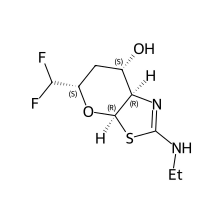 CCNC1=N[C@H]2[C@H](O[C@H](C(F)F)C[C@@H]2O)S1